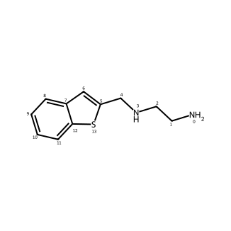 NCCNCc1cc2ccccc2s1